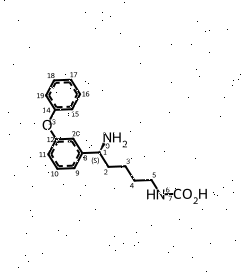 N[C@@H](CCCCNC(=O)O)c1cccc(Oc2ccccc2)c1